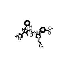 COCCN1C[C@@H](NC(=O)Nc2c(C)c(-c3cnn(C)c3)nn2-c2ccccc2)[C@H](c2cccc(C(=O)OC)c2)C1